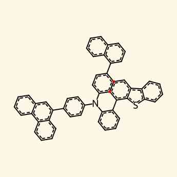 c1ccc(N(c2ccc(-c3cccc4ccccc34)cc2)c2ccc(-c3cc4ccccc4c4ccccc34)cc2)c(-c2cccc3c2sc2ccccc23)c1